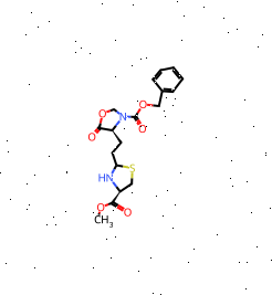 COC(=O)[C@@H]1CSC(CC[C@H]2C(=O)OCN2C(=O)OCc2ccccc2)N1